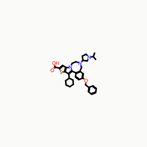 CC(C)N1CCC(N2CCn3c(c(C4CCCCC4)c4sc(C(=O)O)cc43)-c3ccc(OCc4ccccc4)cc3C2)C1